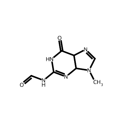 CN1C=NC2C(=O)NC(NC=O)=NC21